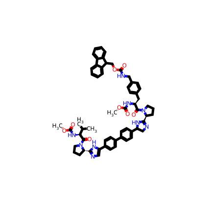 COC(=O)N[C@@H](Cc1ccc(CNC(=O)OCC2c3ccccc3-c3ccccc32)cc1)C(=O)N1CCC[C@H]1C1=NCC(c2ccc(-c3ccc(-c4cnc([C@@H]5CCCN5C(=O)[C@@H](NC(=O)OC)C(C)C)[nH]4)cc3)cc2)N1